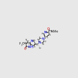 CNC(=O)c1ccc(N2CCN([C@H](C)c3cnc4c(C)c(C(F)(F)F)c(=O)[nH]c4c3)CC2)cn1